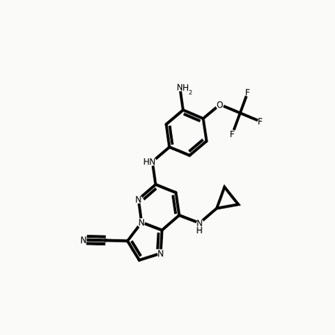 N#Cc1cnc2c(NC3CC3)cc(Nc3ccc(OC(F)(F)F)c(N)c3)nn12